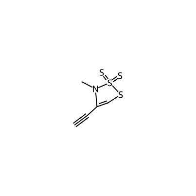 C#CC1=CSS(=S)(=S)N1C